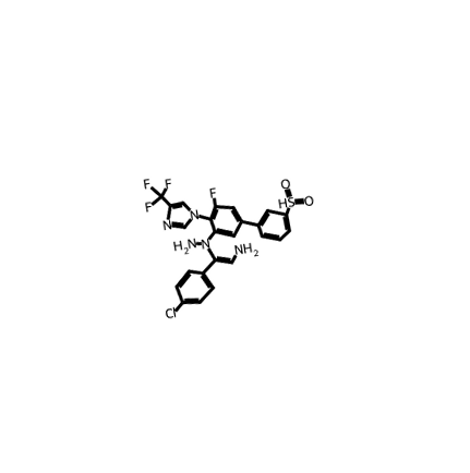 N/C=C(/c1ccc(Cl)cc1)N(N)c1cc(-c2cccc([SH](=O)=O)c2)cc(F)c1-n1cnc(C(F)(F)F)c1